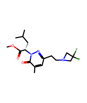 COC(=O)[C@H](CC(C)C)n1nc(CCN2CC(F)(F)C2)cc(C)c1=O